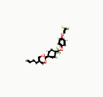 C=CCCC1COC(C2CCC(C(F)(F)Oc3ccc(OC=C(F)F)cc3)CC2)OC1